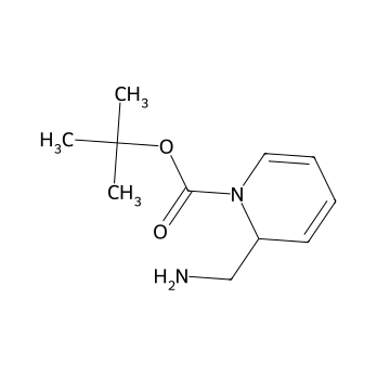 CC(C)(C)OC(=O)N1C=CC=CC1CN